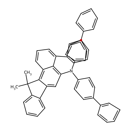 CC1(C)c2ccccc2-c2cc(N(c3ccc(-c4ccccc4)cc3)c3ccc(-c4ccccc4)cc3)c3c(-c4ccccc4)cccc3c21